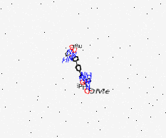 COC(=O)N[C@H](C(=O)N1CCC[C@H]1c1ncc(-c2ccc(-c3ccc4nc([C@@H]5CCCN5C(=O)OC(C)(C)C)[nH]c4c3)cc2)[nH]1)C(C)C